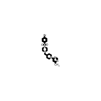 Cc1cc(N2CCC(CN3CCN(S(=O)(=O)c4ccc(Br)cc4)CC3)CC2)ncn1